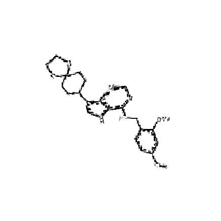 COc1ccc(CNc2ncnc3c(C4CCC5(CC4)OCCO5)c[nH]c23)c(OC)c1